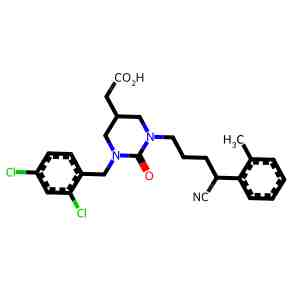 Cc1ccccc1C(C#N)CCCN1CC(CC(=O)O)CN(Cc2ccc(Cl)cc2Cl)C1=O